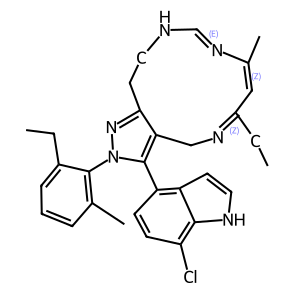 CCC1=N/Cc2c(nn(-c3c(C)cccc3CC)c2-c2ccc(Cl)c3[nH]ccc23)CCN/C=N/C(C)=C\1